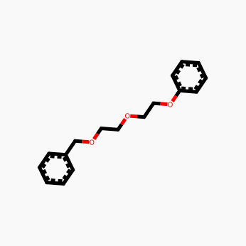 c1ccc(COCCOCCOc2ccccc2)cc1